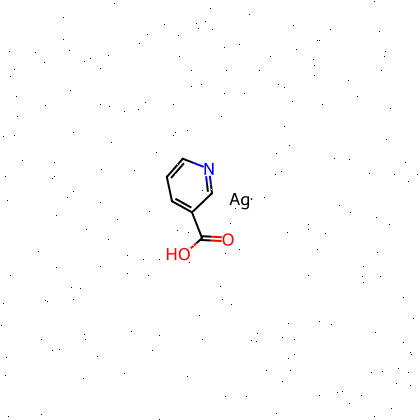 O=C(O)c1cccnc1.[Ag]